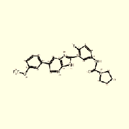 O=C(Nc1ccc(F)c(-c2nc3cc(-c4cccc(OC(F)(F)F)c4)cnc3[nH]2)c1)N1CCCC1